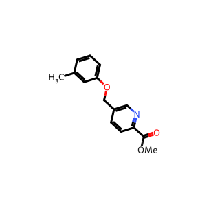 COC(=O)c1ccc(COc2cccc(C)c2)cn1